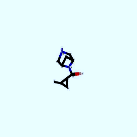 CC1CC1C(=O)N1C2CNCC1C2